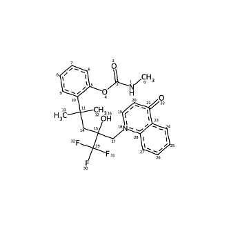 CNC(=O)Oc1ccccc1C(C)(C)CC(O)(Cn1ccc(=O)c2ccccc21)C(F)(F)F